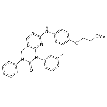 COCCOc1ccc(Nc2ncc3c(n2)N(c2cccc(C)c2)C(=O)N(c2ccccc2)C3)cc1